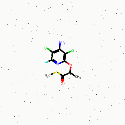 CSC(=O)C(C)Oc1nc(F)c(Cl)c(N)c1Cl